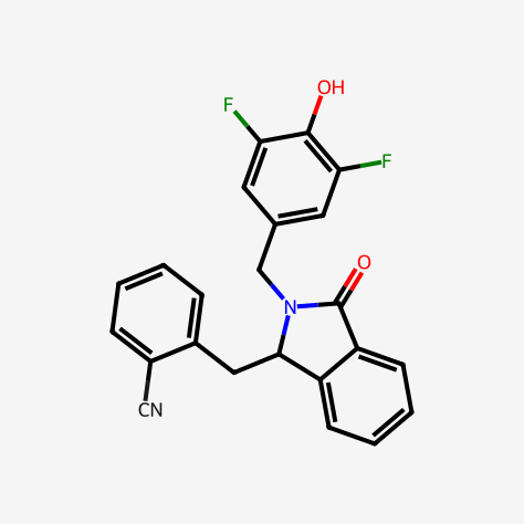 N#Cc1ccccc1CC1c2ccccc2C(=O)N1Cc1cc(F)c(O)c(F)c1